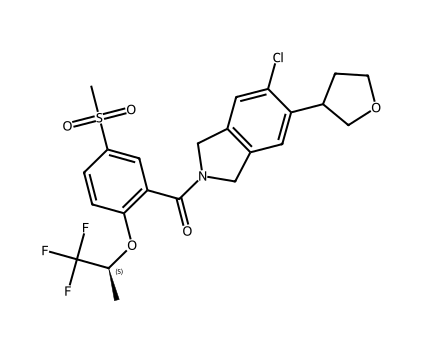 C[C@H](Oc1ccc(S(C)(=O)=O)cc1C(=O)N1Cc2cc(Cl)c(C3CCOC3)cc2C1)C(F)(F)F